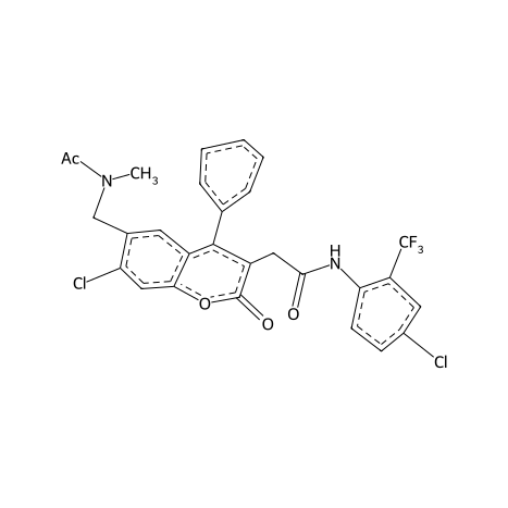 CC(=O)N(C)Cc1cc2c(-c3ccccc3)c(CC(=O)Nc3ccc(Cl)cc3C(F)(F)F)c(=O)oc2cc1Cl